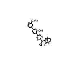 COc1cc(-c2ccc(-c3cnc(N(C4CC4)[C@H]4C[C@]5(C)CC[C@@](C)(N5)[C@H]4F)nn3)c(O)c2)cnn1